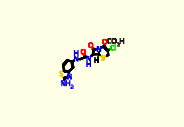 Nc1nc2cc(NCC(=O)NC3C(=O)N4C(OC(=O)O)=C(Cl)CS[C@@H]34)ccc2s1